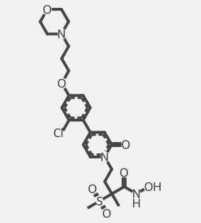 CC(CCn1ccc(-c2ccc(OCCCN3CCOCC3)cc2Cl)cc1=O)(C(=O)NO)S(C)(=O)=O